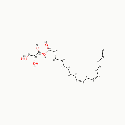 CCCCC/C=C\C/C=C\CCCCCCCC(=O)OC(=O)C(O)CO